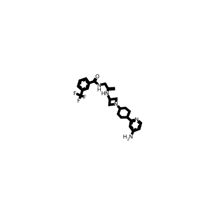 C=C(CNC(=O)c1cccc(C(F)(F)F)c1)NC1CN(C2CCC(c3cc(N)ccn3)CC2)C1